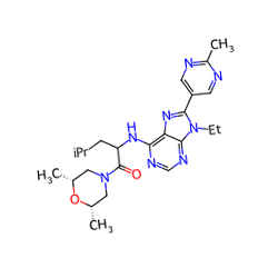 CCn1c(-c2cnc(C)nc2)nc2c(NC(CC(C)C)C(=O)N3C[C@@H](C)O[C@@H](C)C3)ncnc21